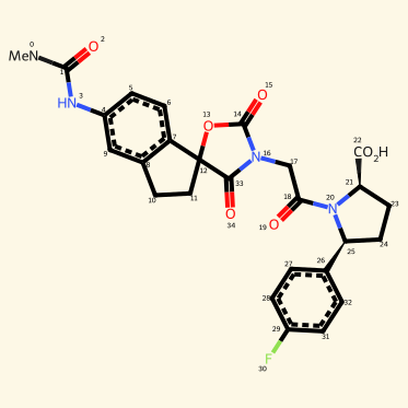 CNC(=O)Nc1ccc2c(c1)CCC21OC(=O)N(CC(=O)N2[C@@H](C(=O)O)CC[C@H]2c2ccc(F)cc2)C1=O